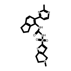 Cc1nccc(-c2ccc3c(c2NC(=O)NS(=O)(=O)c2cc4c(s2)CCN(C)C4)CCC3)n1